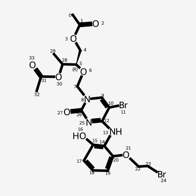 CC(=O)OC[C@@H](OCn1cc(Br)c(Nc2c(O)cccc2OCCBr)nc1=O)C(C)OC(C)=O